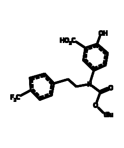 CC(C)(C)OC(=O)N(CCc1ccc(C(F)(F)F)cc1)c1ccc(O)c(C(=O)O)c1